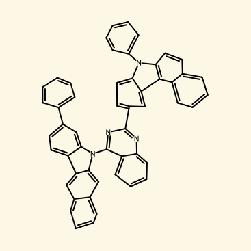 c1ccc(-c2ccc3c4cc5ccccc5cc4n(-c4nc(-c5ccc6c(c5)c5c7ccccc7ccc5n6-c5ccccc5)nc5ccccc45)c3c2)cc1